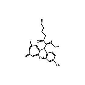 C=CCCCC(=O)/C(=C(\C)C=C)C(C1=CC(C)=CC(=C)C=C1O)c1ccc(C#N)cc1C